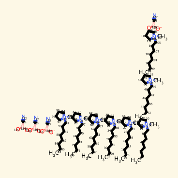 CCCCCCCC[N+]1(C)CCCC1.CCCCCCCC[N+]1(C)CCCC1.CCCCCCCC[N+]1(C)CCCC1.CCCCCCCC[N+]1(C)CCCC1.CCCCCCCC[N+]1(C)CCCC1.CCCCCCCC[N+]1(C)CCCC1.CCCCCCCC[N+]1(C)CCCC1.CCCCCCCC[N+]1(C)CCCC1.N#CB([O-])[O-].N#CB([O-])[O-].N#CB([O-])[O-].N#CB([O-])[O-]